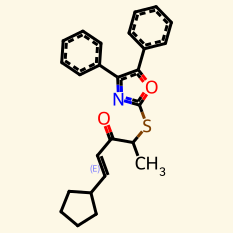 CC(Sc1nc(-c2ccccc2)c(-c2ccccc2)o1)C(=O)/C=C/C1CCCC1